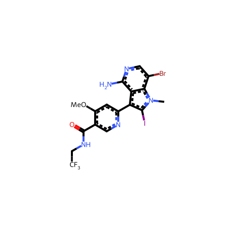 COc1cc(-c2c(I)n(C)c3c(Br)cnc(N)c23)ncc1C(=O)NCC(F)(F)F